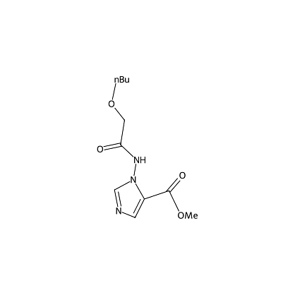 CCCCOCC(=O)Nn1cncc1C(=O)OC